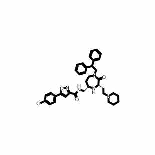 O=C(NC[C@@H]1CCN(CC(c2ccccc2)c2ccccc2)C(=O)[C@H](CCN2CCCCC2)N1)c1cc(-c2ccc(Cl)cc2)on1